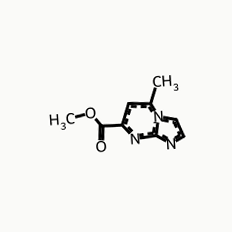 COC(=O)c1cc(C)n2ccnc2n1